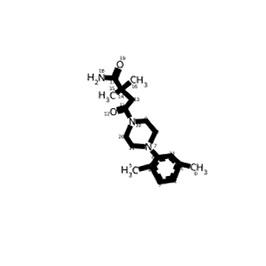 Cc1ccc(C)c(N2CCN(C(=O)[CH]C(C)(C)C(N)=O)CC2)c1